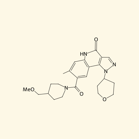 COCC1CCN(C(=O)c2cc3c(cc2C)[nH]c(=O)c2cnn(C4CCOCC4)c23)CC1